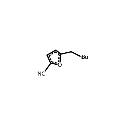 CCC(C)Cc1ccc(C#N)o1